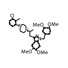 COc1ccc(Cn2nc(CC(C)N3CCN(c4cccc(Cl)c4C)CC3)c3cc(OC)c(OC)cc32)cc1OC